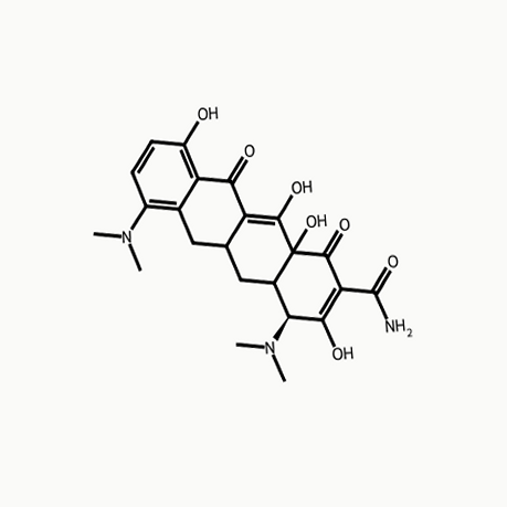 CN(C)c1ccc(O)c2c1CC1CC3[C@H](N(C)C)C(O)=C(C(N)=O)C(=O)C3(O)C(O)=C1C2=O